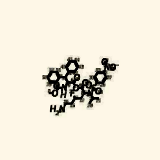 COC(=O)N[C@H](C(=O)OC(=O)[C@H](CC(F)CCN)N(C(C)C)S(=O)(=O)c1ccc([N+](=O)[O-])cc1)C(c1ccccc1)c1ccccc1